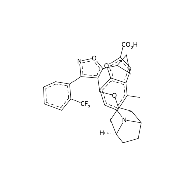 Cc1c(N2C3CC[C@H]2CC(OCc2c(-c4ccccc4C(F)(F)F)noc2C2CC2)C3)ccc2oc(C(=O)O)cc12